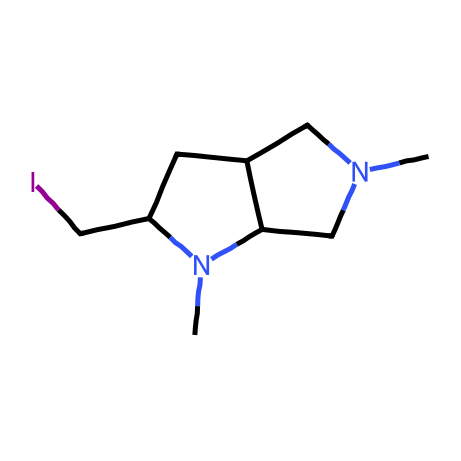 CN1CC2CC(CI)N(C)C2C1